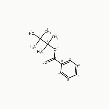 CC(C)(O)C(C)(C)OC(=O)c1ccccc1